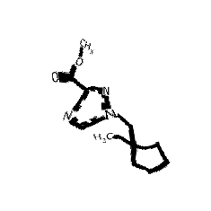 COC(=O)c1ncn(CC2(C)CCCC2)n1